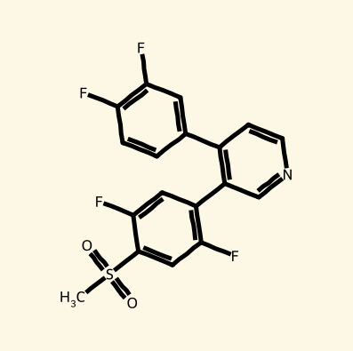 CS(=O)(=O)c1cc(F)c(-c2cnccc2-c2ccc(F)c(F)c2)cc1F